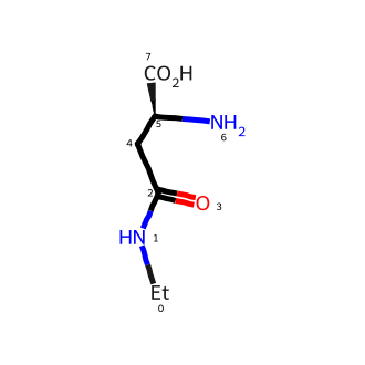 CCNC(=O)C[C@H](N)C(=O)O